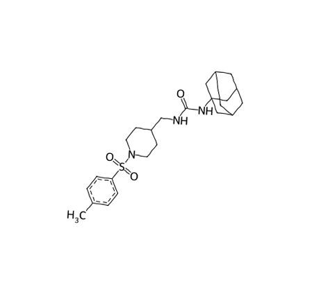 Cc1ccc(S(=O)(=O)N2CCC(CNC(=O)NC34CC5CC(CC(C5)C3)C4)CC2)cc1